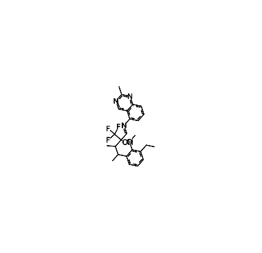 CCc1cccc(C(C)C(C)C(O)(/C=N/c2cccc3nc(C)ncc23)C(F)(F)F)c1OC